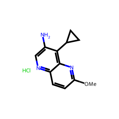 COc1ccc2ncc(N)c(C3CC3)c2n1.Cl